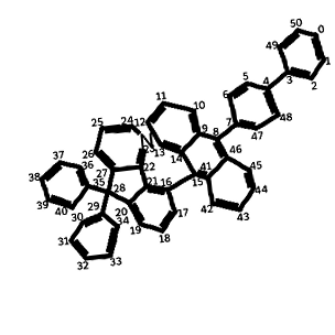 c1ccc(-c2ccc(-c3c4ccccc4c(-c4cccc5c4-c4ncccc4C5(c4ccccc4)c4ccccc4)c4ccccc34)cc2)cc1